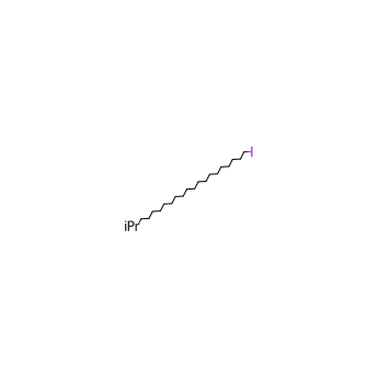 CC(C)CCCCCCCCCCCCCCCCCCCI